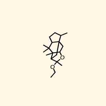 CCOC1(C)OC2CC34CC1C2(C)C(C)(C)C3CCC4C